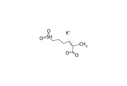 CC(=CCCC[SH](=O)=O)C(=O)[O-].[K+]